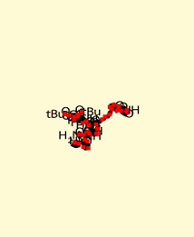 CC(C)(C)C(=O)OCOP(=O)(OCOC(=O)C(C)(C)C)C(F)(F)c1ccc2[nH]c(C(=O)N[C@H]3CN(C(=O)CCCCCC#Cc4cccc5c4CN(C4CCC(=O)NC4=O)C5=O)CC[C@H]4CC[C@@H](C(=O)N[C@@H](CCC(N)=O)C(=O)NC(c5ccccc5)c5ccccc5)N4C3=O)cc2c1